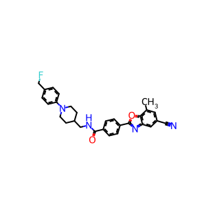 Cc1cc(C#N)cc2nc(-c3ccc(C(=O)NCC4CCN(c5ccc(CF)cc5)CC4)cc3)oc12